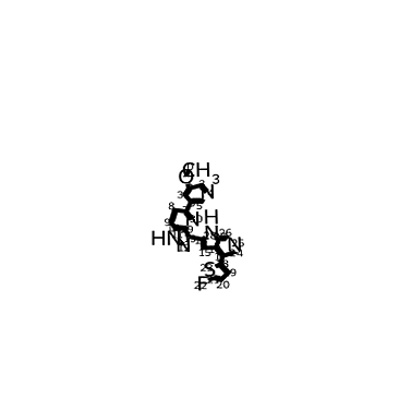 COc1cncc(-c2ccc3[nH]nc(-c4cc5c(-c6ccc(F)s6)cncc5[nH]4)c3n2)c1